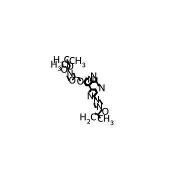 C=CC(C)C(=O)N1CCN(c2ccc(-c3cc(OC[C@@H]4CN(C(=O)OC(C)(C)C)CCO4)cn4ncc(C#N)c34)cn2)CC1